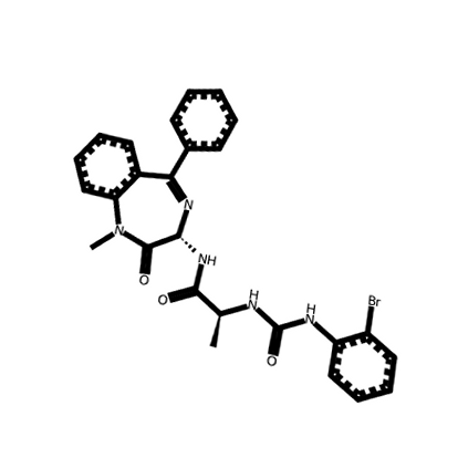 C[C@H](NC(=O)Nc1ccccc1Br)C(=O)N[C@H]1N=C(c2ccccc2)c2ccccc2N(C)C1=O